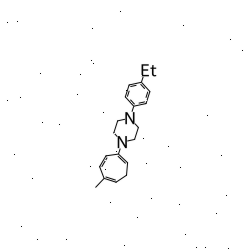 CCc1ccc(N2CCN(C3=CCC=C(C)C=C3)CC2)cc1